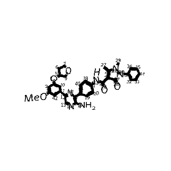 COc1cc(OC2CCOC2)cc(-c2cnc(N)c(-c3ccc(NC(=O)c4c(C)n(C)n(-c5ccccc5)c4=O)cc3)n2)c1